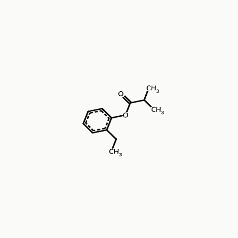 CCc1ccccc1OC(=O)C(C)C